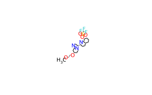 COCCOc1ccn2c(-c3ccc4cccc(OS(=O)(=O)C(F)(F)F)c4n3)cnc2c1